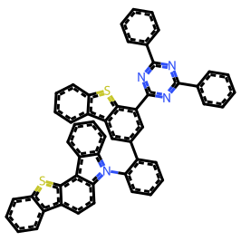 c1ccc(-c2nc(-c3ccccc3)nc(-c3cc(-c4ccccc4-n4c5ccccc5c5c6sc7ccccc7c6ccc54)cc4c3sc3ccccc34)n2)cc1